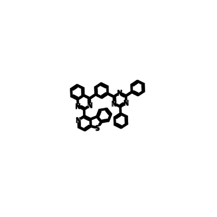 c1ccc(-c2nc(-c3ccccc3)nc(-c3cccc(-c4nc(-c5nccc6sc7ccccc7c56)nc5ccccc45)c3)n2)cc1